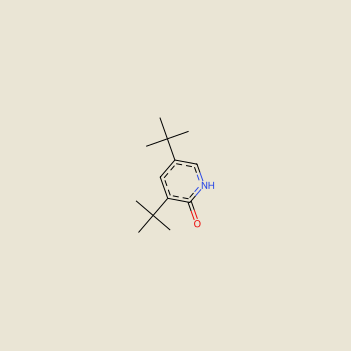 CC(C)(C)c1c[nH]c(=O)c(C(C)(C)C)c1